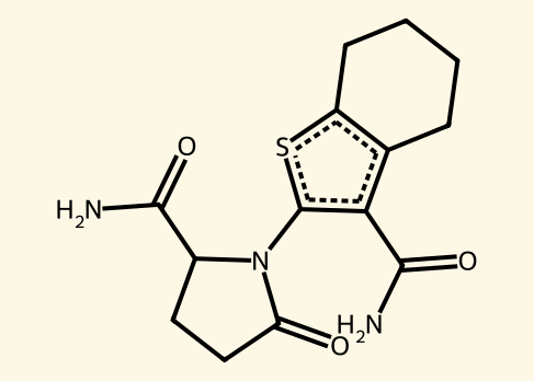 NC(=O)c1c(N2C(=O)CCC2C(N)=O)sc2c1CCCC2